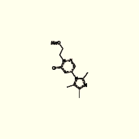 COCCn1ncc(-n2c(C)nc(I)c2C)cc1=O